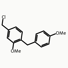 COc1ccc(Cc2ccc(CCl)cc2OC)cc1